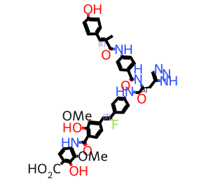 COc1c(/C=C(\F)c2ccc(NC(=O)[C@H](Cc3cnn[nH]3)NC(=O)c3ccc(NC(=O)/C(C)=C/c4ccc(O)cc4)cc3)cc2)ccc(C(=O)Nc2ccc(C(=O)O)c(O)c2OC)c1O